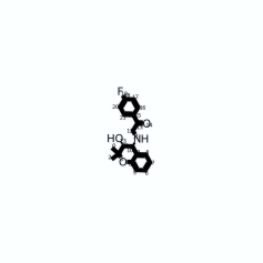 CC1(C)Oc2ccccc2[C@H](NCC(=O)c2ccc(F)cc2)[C@H]1O